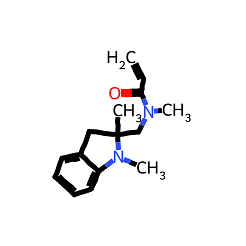 C=CC(=O)N(C)CC1(C)Cc2ccccc2N1C